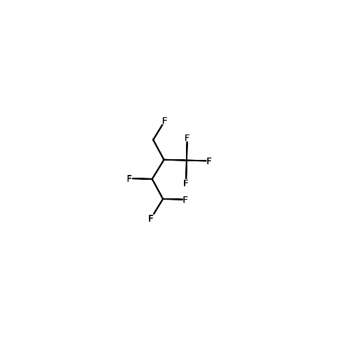 FCC(C(F)C(F)F)C(F)(F)F